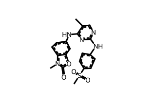 Cc1cnc(Nc2ccc(S(C)(=O)=O)cc2)nc1Nc1ccc2c(c1)oc(=O)n2C